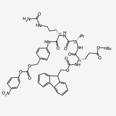 CCCCOC(=O)CC[C@H](NC(=O)OCC1c2ccccc2-c2ccccc21)C(=O)N[C@H](C(=O)N[C@@H](CCCNC(N)=O)C(=O)Nc1ccc(COC(=O)Oc2ccc([N+](=O)[O-])cc2)cc1)C(C)C